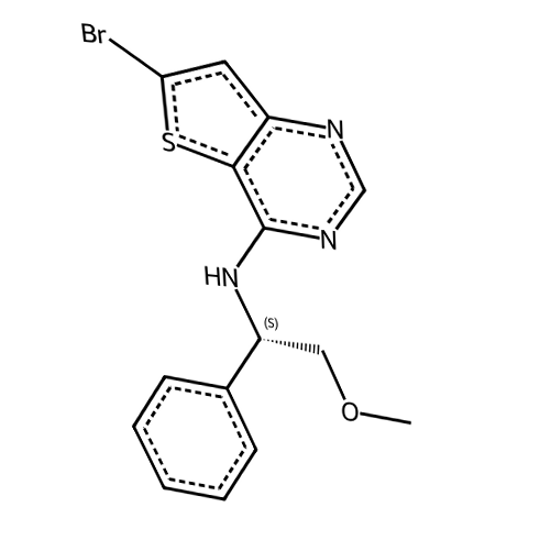 COC[C@@H](Nc1ncnc2cc(Br)sc12)c1ccccc1